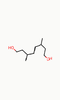 CC(CCO)CCC(C)CCO